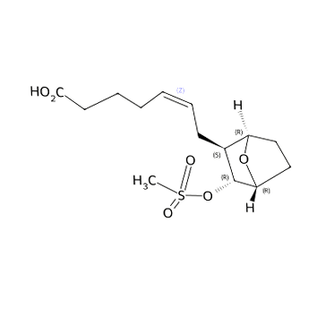 CS(=O)(=O)O[C@@H]1[C@@H](C/C=C\CCCC(=O)O)[C@H]2CC[C@H]1O2